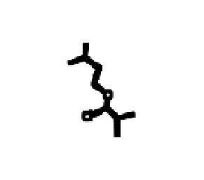 CC(C)CCOC(Cl)C(C)C